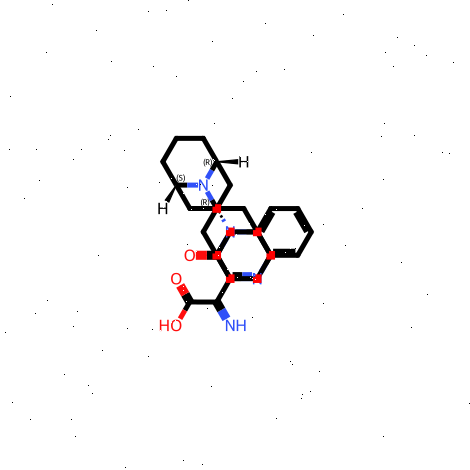 N=C(C(=O)O)c1nc2ccccc2n([C@H]2C[C@H]3CCC[C@@H](C2)N3C2CC3CCCC(C3)C2)c1=O